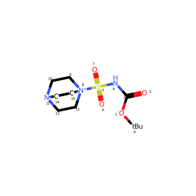 CC(C)(C)OC(=O)NS(=O)(=O)[N+]12CCN(CC1)CC2